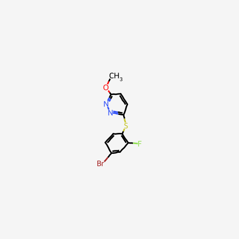 COc1ccc(Sc2ccc(Br)cc2F)nn1